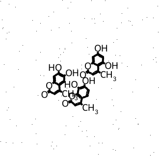 Cc1cc(=O)oc2c(O)c(O)ccc12.Cc1cc(=O)oc2cc(O)c(O)cc12.Cc1cc(=O)oc2cc(O)cc(O)c12